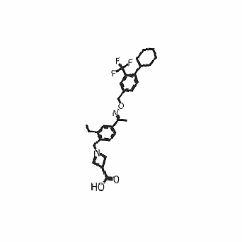 CCc1cc(C(C)=NOCc2ccc(C3CCCCC3)c(C(F)(F)F)c2)ccc1CN1CC(C(=O)O)C1